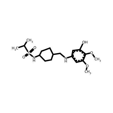 COc1cc(NCC2CCC(NS(=O)(=O)C(C)C)CC2)cc(O)c1OC